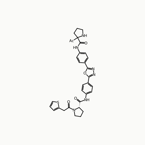 CC(=O)C1(C(=O)Nc2ccc(-c3nnc(-c4ccc(NC(=O)[C@@H]5CCCN5C(=O)Cc5cccs5)cc4)o3)cc2)CCCN1